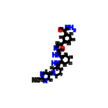 N#Cc1ncc(N2CCC[C@H](N[C@@H]3CCCC[C@H]3Nc3ncc(-c4cccc(C(N)=O)c4)o3)C2)cn1